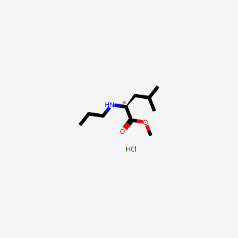 CCCN[C@@H](CC(C)C)C(=O)OC.Cl